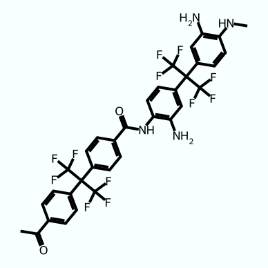 CNc1ccc(C(c2ccc(NC(=O)c3ccc(C(c4ccc(C(C)=O)cc4)(C(F)(F)F)C(F)(F)F)cc3)c(N)c2)(C(F)(F)F)C(F)(F)F)cc1N